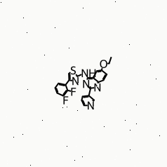 CCOc1ccc2nc(-c3cccnc3)nc(Nc3nc(-c4cccc(F)c4F)cs3)c2c1